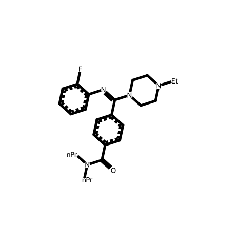 CCCN(CCC)C(=O)c1ccc(/C(=N\c2ccccc2F)N2CCN(CC)CC2)cc1